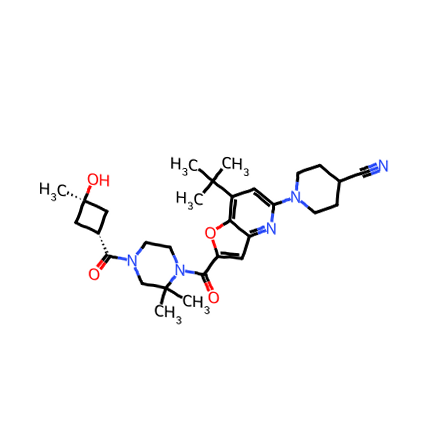 CC(C)(C)c1cc(N2CCC(C#N)CC2)nc2cc(C(=O)N3CCN(C(=O)[C@H]4C[C@](C)(O)C4)CC3(C)C)oc12